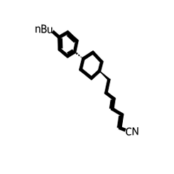 CCCCc1ccc([C@H]2CC[C@H](CC/C=C/C=C/C#N)CC2)cc1